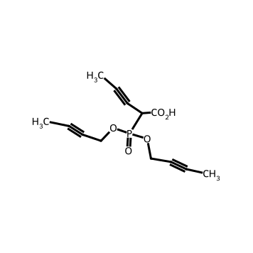 CC#CCOP(=O)(OCC#CC)C(C#CC)C(=O)O